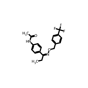 CCC(=NOCc1ccc(C(F)(F)F)cc1)c1ccc(NC(C)=O)cc1